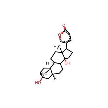 C[C@]12CC[C@H](O)C[C@H]1CCC1[C@@H]2CC[C@]2(C)[C@@H](c3ccc(=O)oc3)CC[C@]12O